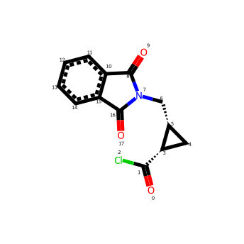 O=C(Cl)[C@H]1C[C@H]1CN1C(=O)c2ccccc2C1=O